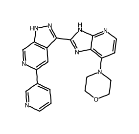 c1cncc(-c2cc3c(-c4nc5c(N6CCOCC6)ccnc5[nH]4)n[nH]c3cn2)c1